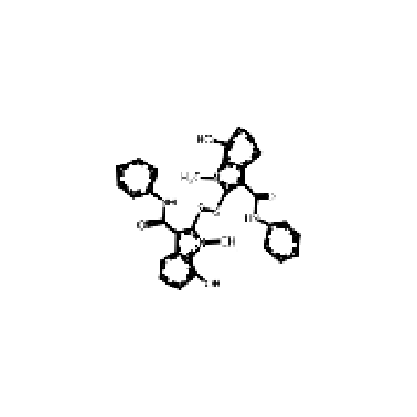 Cn1c(SSc2c(C(=O)Nc3ccccc3)c3cccc(O)c3n2C)c(C(=O)Nc2ccccc2)c2cccc(O)c21